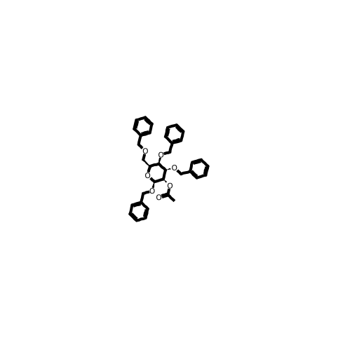 CC(=O)O[C@@H]1[C@@H](OCc2ccccc2)O[C@@H](COCc2ccccc2)[C@@H](OCc2ccccc2)[C@@H]1OCc1ccccc1